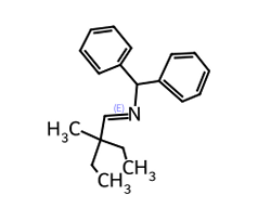 CCC(C)(/C=N/C(c1ccccc1)c1ccccc1)CC